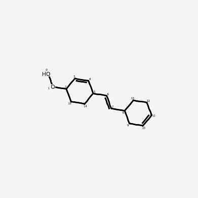 OOC1C=CC(C=CC2CC=CCC2)CC1